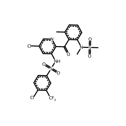 Cc1cccc(N(C)S(C)(=O)=O)c1C(=O)c1ncc(Cl)cc1NS(=O)(=O)c1ccc(Cl)c(C(F)(F)F)c1